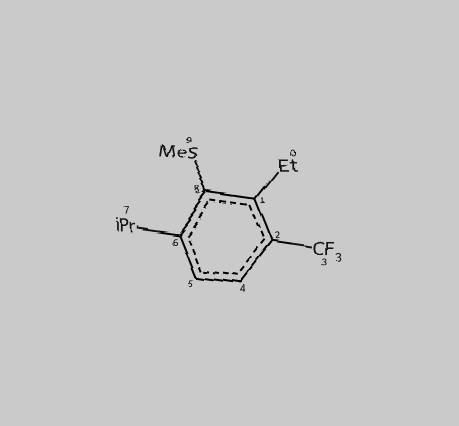 CCc1c(C(F)(F)F)ccc(C(C)C)c1SC